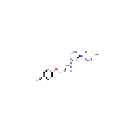 CN1CCN(c2ccnc(-c3nsc(NC(=O)c4ccc(C(F)(F)F)cc4)n3)c2)CC1